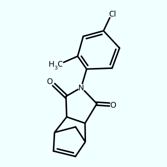 Cc1cc(Cl)ccc1N1C(=O)C2C3C=CC(C3)C2C1=O